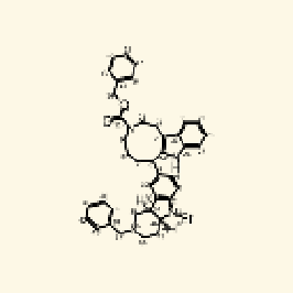 CCN1c2ccc(C3CCCN(C(=O)OCc4ccccc4)CCc4c3[nH]c3ccccc43)cc2[C@@H]2CN(Cc3ccccc3)CC[C@H]21